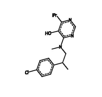 CC(C)c1ncnc(N(C)CC(C)c2ccc(Cl)cc2)c1O